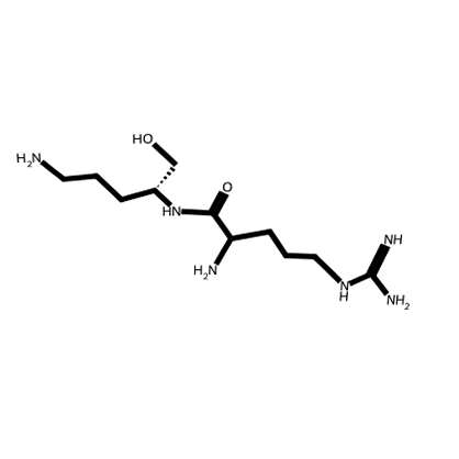 N=C(N)NCCCC(N)C(=O)N[C@@H](CO)CCCN